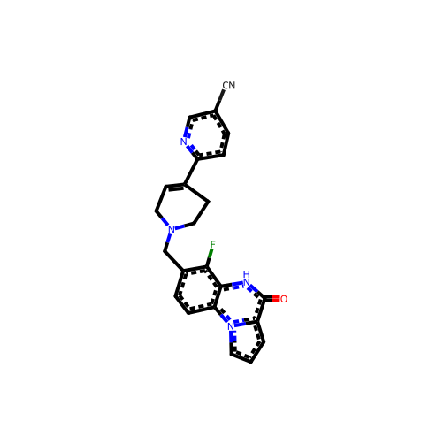 N#Cc1ccc(C2=CCN(Cc3ccc4c([nH]c(=O)c5cccn54)c3F)CC2)nc1